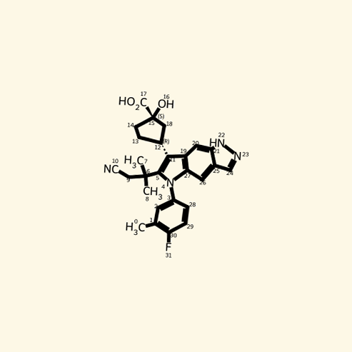 Cc1cc(-n2c(C(C)(C)CC#N)c([C@@H]3CC[C@@](O)(C(=O)O)C3)c3cc4[nH]ncc4cc32)ccc1F